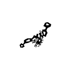 CC1(C2=C(C3(C)Cc4ccc(-c5ccccc5)cc4S3)C(F)(F)C(F)(F)C2(F)F)Cc2ccc(-c3ccccc3)cc2S1